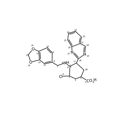 O=C(O)C1CC(Cl)N(NCc2ccc3c(c2)OCO3)C(c2ncc3ccccc3n2)C1